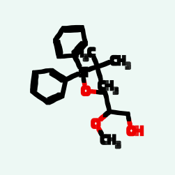 COC(CO)CO[Si](c1ccccc1)(c1ccccc1)C(C)(C)C